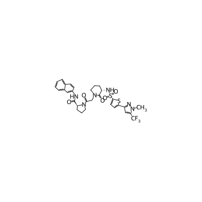 Cn1nc(-c2ccc(S(=O)(=O)N[C@H]3CCCN(CC(=O)N4CCC[C@H]4C(=O)Nc4ccc5ccccc5c4)C3=O)s2)cc1C(F)(F)F